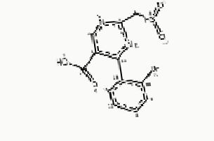 O=C(O)c1cnc(C[SH](=O)=O)nc1-c1ccccc1Br